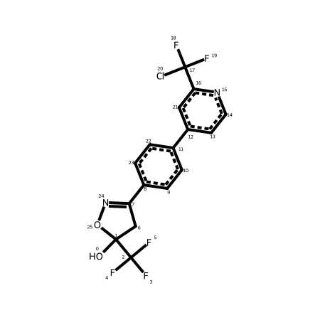 OC1(C(F)(F)F)CC(c2ccc(-c3ccnc(C(F)(F)Cl)c3)cc2)=NO1